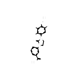 COc1c(F)cc(N2CCN(c3cccc(C(=O)O)c3)C2=O)c(F)c1F